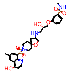 CNS(=O)(=O)c1cccc(OC[C@@H](O)CNC2COC3(CCN(S(=O)(=O)c4cc(C)cc5c(O)ccnc45)CC3)C2)c1